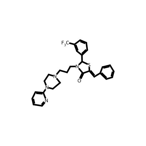 O=C1C(=Cc2ccccc2)SC(c2cccc(C(F)(F)F)c2)N1CCCN1CCN(c2ccccn2)CC1